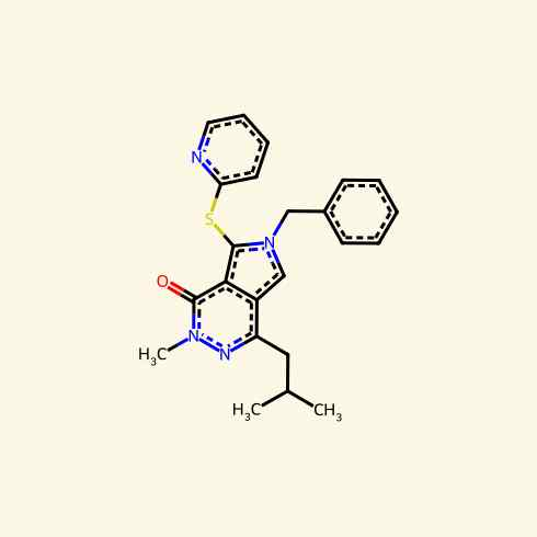 CC(C)Cc1nn(C)c(=O)c2c(Sc3ccccn3)n(Cc3ccccc3)cc12